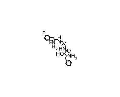 CC(C)(CNCC(N)Cc1cc(F)ccc1F)CNC(=O)[C@@H](O)[C@H](N)Cc1ccccc1